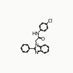 O=C(Cn1c(-c2ccccc2)nc2ccccc21)Nc1ccc(Cl)cc1